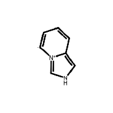 [c]1cccc2c[nH]c[n+]12